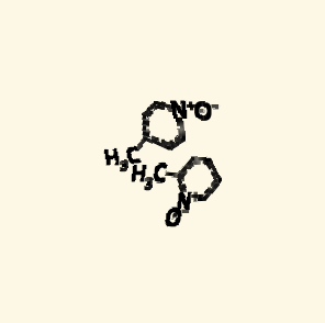 Cc1cc[n+]([O-])cc1.Cc1cccc[n+]1[O-]